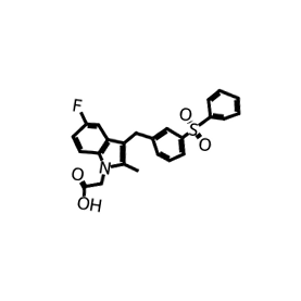 Cc1c(Cc2cccc(S(=O)(=O)c3ccccc3)c2)c2cc(F)ccc2n1CC(=O)O